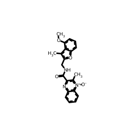 COc1cccc2oc(CNC(=O)c3nc4ccccc4[n+]([O-])c3C)c(C)c12